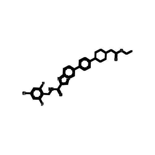 CCOC(=O)CC1CCC(c2ccc(-c3ccc4nc(C(=O)NCc5c(F)cc(Cl)cc5F)cn4c3)cc2)CC1